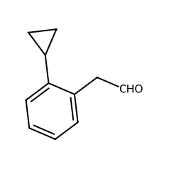 O=CCc1ccccc1C1CC1